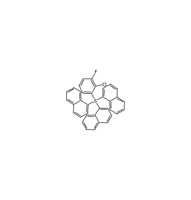 Fc1cccc(S(c2cccc3ccccc23)(c2cccc3ccccc23)c2cccc3ccccc23)c1Cl